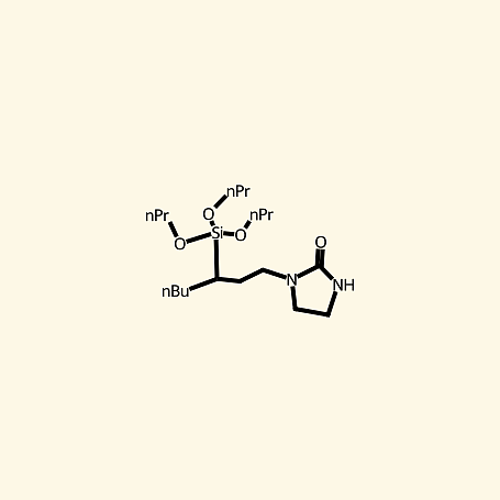 CCCCC(CCN1CCNC1=O)[Si](OCCC)(OCCC)OCCC